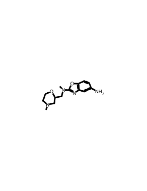 CN1CCOC(CN(C)c2nc3cc(N)ccc3o2)C1